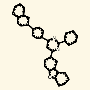 c1ccc(-c2nc(-c3ccc(-c4ccc5ccccc5c4)cc3)cc(-c3ccc4oc5ccccc5c4c3)n2)cc1